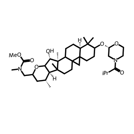 COC(=O)N(C)CC1C[C@@H](C)[C@H]2C(O1)[C@H](O)[C@@]1(C)C3CC[C@H]4C(C)(C)C(O[C@H]5CN(C(=O)C(C)C)CCO5)CCC45CC35CCC21C